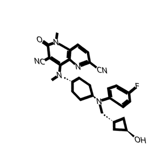 Cn1c(=O)c(C#N)c(N(C)[C@H]2CC[C@@H](N(C[C@H]3C[C@H](O)C3)c3ccc(F)cc3)CC2)c2nc(C#N)ccc21